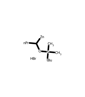 Br.CCC[CH]([Zn])O[Si](C)(C)C(C)(C)C